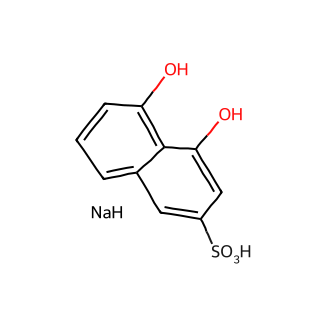 O=S(=O)(O)c1cc(O)c2c(O)cccc2c1.[NaH]